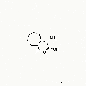 N[C@H](C(=O)O)[C@@H]1CCCCC[C@@H]1O